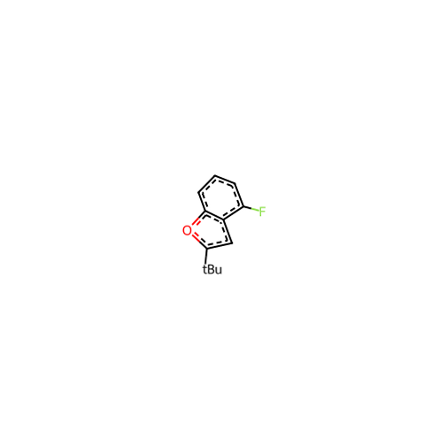 CC(C)(C)c1cc2c(F)cccc2o1